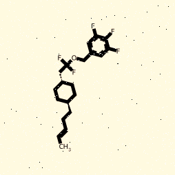 CC=CCC[C@H]1CC[C@H](CC(F)(F)OCc2cc(F)c(F)c(F)c2)CC1